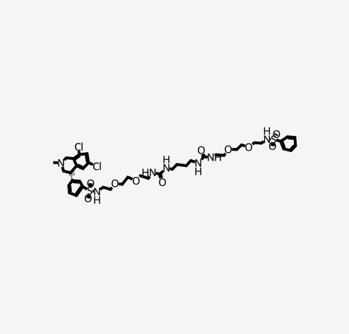 CN1Cc2c(Cl)cc(Cl)cc2[C@H](c2cccc(S(=O)(=O)NCCOCCOCCNC(=O)NCCCCNC(=O)NCCOCCOCCNS(=O)(=O)c3ccccc3)c2)C1